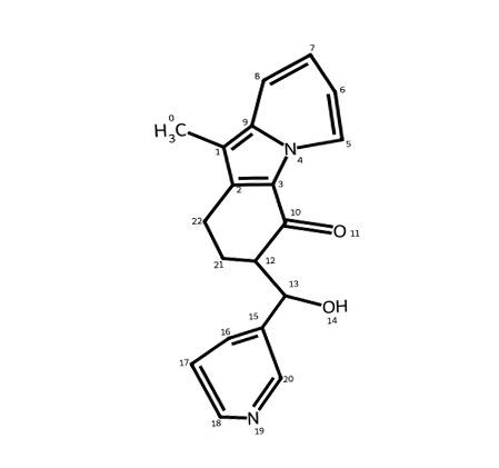 Cc1c2c(n3ccccc13)C(=O)C(C(O)c1cccnc1)CC2